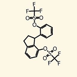 O=S(=O)(Oc1ccccc1C1CCc2cccc(OS(=O)(=O)C(F)(F)F)c21)C(F)(F)F